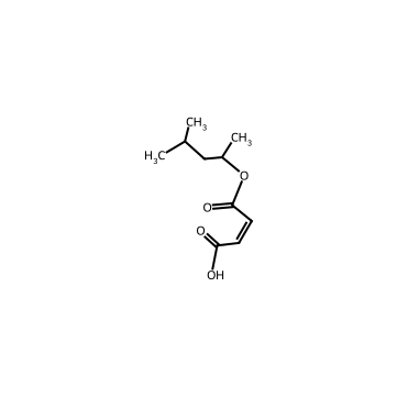 CC(C)CC(C)OC(=O)/C=C\C(=O)O